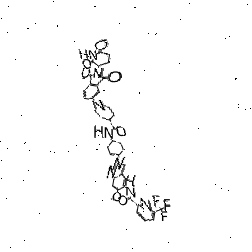 COc1cc2nn(C3CCC(NC(=O)C4CCN(c5ccc6c(c5)C(=O)N(C5CCC(=O)NC5=O)C6=O)CC4)CC3)cc2cc1NC(=O)c1cccc(C(F)(F)F)n1